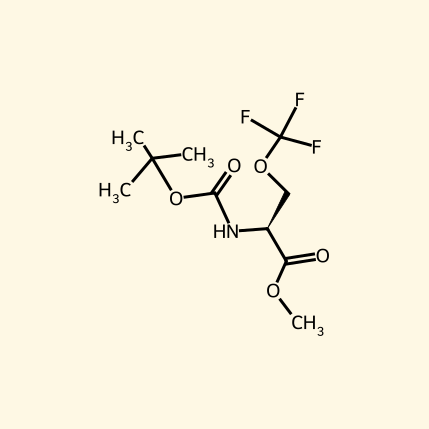 COC(=O)[C@H](COC(F)(F)F)NC(=O)OC(C)(C)C